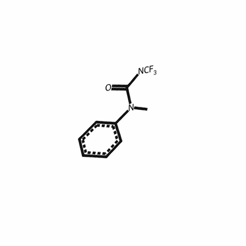 CN(C(=O)NC(F)(F)F)c1ccccc1